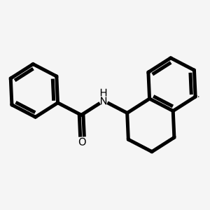 O=C(NC1CCCc2[c]cccc21)c1ccccc1